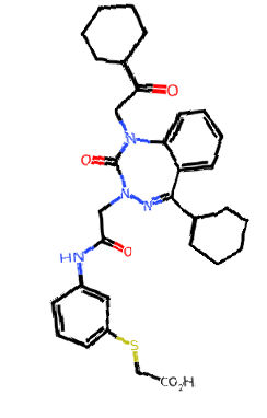 O=C(O)CSc1cccc(NC(=O)CN2N=C(C3CCCCC3)c3ccccc3N(CC(=O)C3CCCCC3)C2=O)c1